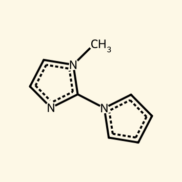 Cn1ccnc1-n1cccc1